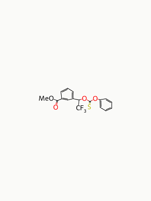 COC(=O)c1cccc(C(OC(=S)Oc2ccccc2)C(F)(F)F)c1